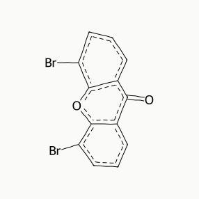 O=c1c2cccc(Br)c2oc2c(Br)cccc12